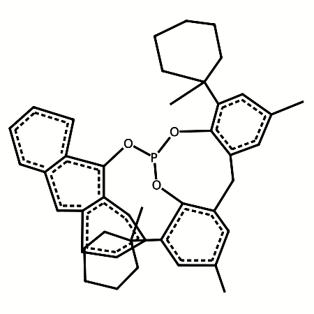 Cc1cc2c(c(C3(C)CCCCC3)c1)OP(Oc1c3ccccc3cc3ccccc13)Oc1c(cc(C)cc1C1(C)CCCCC1)C2